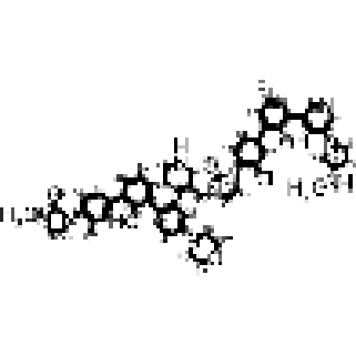 CN[C@H]1CCN(c2cncc(-c3cc(F)cc(-c4ccc(-n5ccn(CC6CNCCN6c6cc(N7CCOCC7)cnc6-c6cc(F)cc(-c7ccc(N8CCN(C)C8=O)c(Cl)c7)c6O)c5=O)c(Cl)c4)c3O)c2)C1